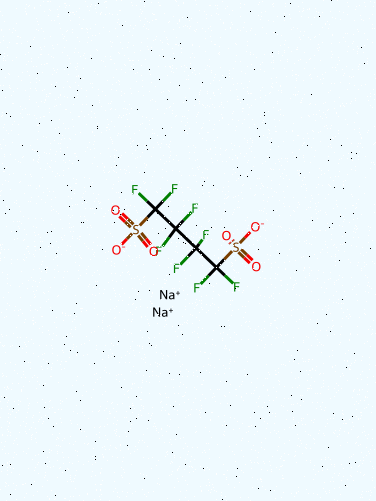 O=S(=O)([O-])C(F)(F)C(F)(F)C(F)(F)C(F)(F)S(=O)(=O)[O-].[Na+].[Na+]